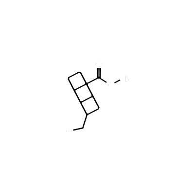 CC(C)(C)OC(=O)C12C3C4C1C1C2C3C41CO